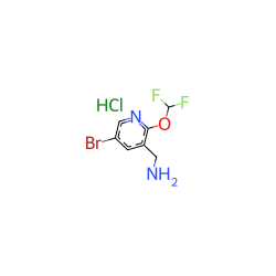 Cl.NCc1cc(Br)cnc1OC(F)F